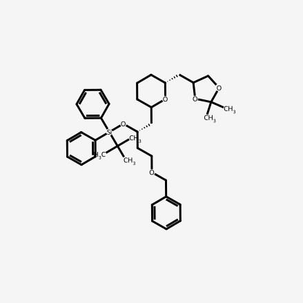 CC1(C)OCC(C[C@H]2CCCC(C[C@H](CCOCc3ccccc3)O[Si](c3ccccc3)(c3ccccc3)C(C)(C)C)O2)O1